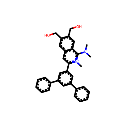 CN(C)c1c2cc(CO)c(CO)cc2cc(-c2cc(-c3ccccc3)cc(-c3ccccc3)c2)[n+]1C